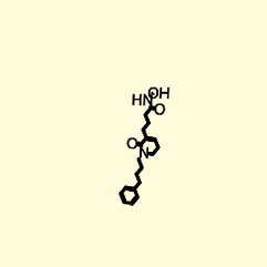 O=C(CCCC1=CCCN(CCCCc2ccccc2)C1=O)NO